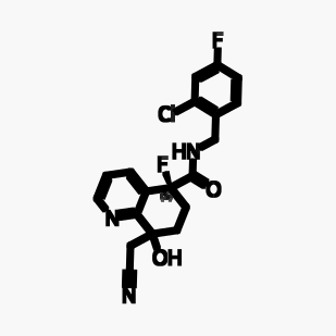 N#CCC1(O)CC[C@@](F)(C(=O)NCc2ccc(F)cc2Cl)c2cccnc21